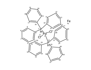 [Cl][Pd]([Cl])([PH](c1ccccc1)(c1ccccc1)c1ccccc1)[PH](c1ccccc1)(c1ccccc1)c1ccccc1.[Fe]